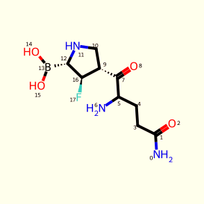 NC(=O)CCC(N)C(=O)[C@H]1CN[C@@H](B(O)O)[C@@H]1F